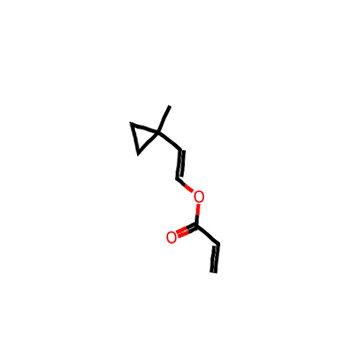 C=CC(=O)OC=CC1(C)CC1